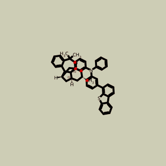 CC1(C)c2ccccc2C2[C@H]3C[C@@H]4C[C@@H](C)C[C@@H](C3)C24c2cc(N(c3ccccc3)c3cccc(-c4cccc5c4sc4ccccc45)c3)ccc21